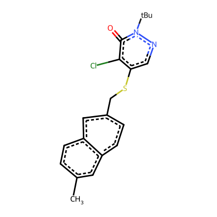 Cc1ccc2cc(CSc3cnn(C(C)(C)C)c(=O)c3Cl)ccc2c1